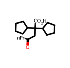 CCCC(=O)CC(C(=O)O)(C1CCCC1)C1CCCC1